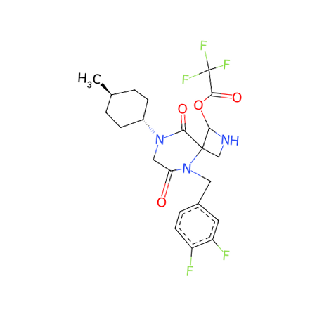 C[C@H]1CC[C@H](N2CC(=O)N(Cc3ccc(F)c(F)c3)C3(CNC3OC(=O)C(F)(F)F)C2=O)CC1